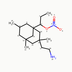 CCC(O[N+](=O)[O-])C12CC(C)CC(C)(CC(C)(CCN)C1)C2